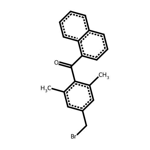 Cc1cc(CBr)cc(C)c1C(=O)c1cccc2ccccc12